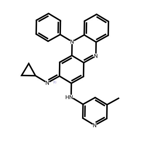 Cc1cncc(Nc2cc3nc4ccccc4n(-c4ccccc4)c-3c/c2=N\C2CC2)c1